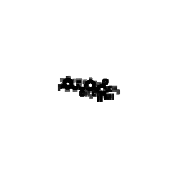 CN1C(=N)N[C@](C)(C2CCCN(C(=O)NCc3cccc(F)c3)C2)CC1=O